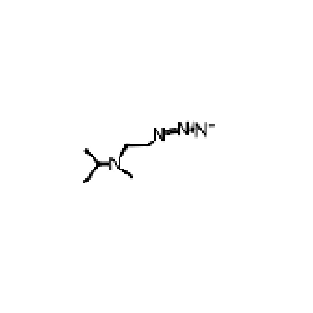 CC(C)N(C)CCN=[N+]=[N-]